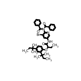 CCC(Oc1ccc(C(C)(C)CC)cc1C(C)(C)CC)C(=O)Nc1cnc(N(C(=O)c2ccccc2)C(=O)c2ccccc2)c(Br)c1